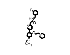 CCOc1ccc(-c2ccc(CC(=O)NCc3cccc(F)c3)nc2)c(OCCN2CCCCC2)c1